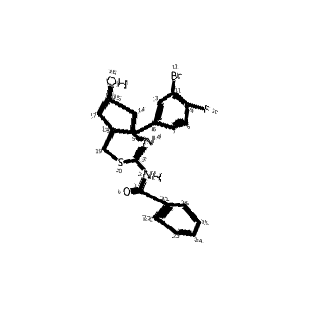 O=C(NC1=NC2(c3ccc(F)c(Br)c3)CC(O)CC2CS1)c1ccccc1